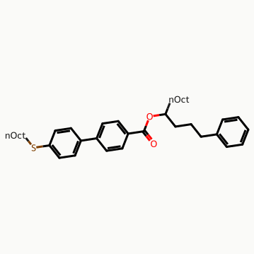 CCCCCCCCSc1ccc(-c2ccc(C(=O)OC(CCCCCCCC)CCCc3ccccc3)cc2)cc1